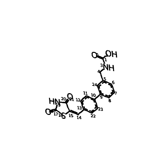 O=C(O)NCc1cccc(-c2ccc(C=C3SC(=O)NC3=O)cc2)c1